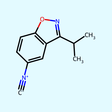 [C-]#[N+]c1ccc2onc(C(C)C)c2c1